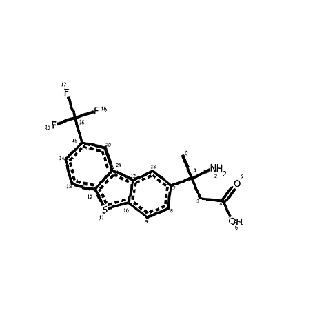 CC(N)(CC(=O)O)c1ccc2sc3ccc(C(F)(F)F)cc3c2c1